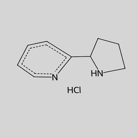 Cl.c1ccc(C2CCCN2)nc1